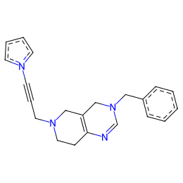 C(#Cn1cccc1)CN1CCC2=C(CN(Cc3ccccc3)C=N2)C1